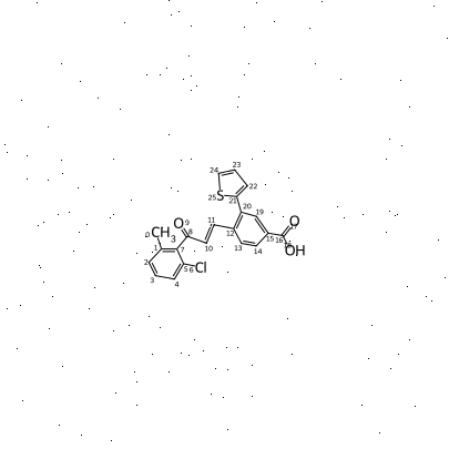 Cc1cccc(Cl)c1C(=O)C=Cc1ccc(C(=O)O)cc1-c1cccs1